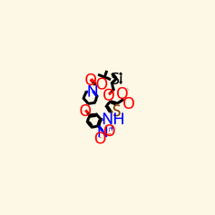 COC(=O)c1sc(Nc2cc(OC3CCN(C(=O)OC(C)(C)C)CC3)ccc2[N+](=O)[O-])cc1OCC[Si](C)(C)C